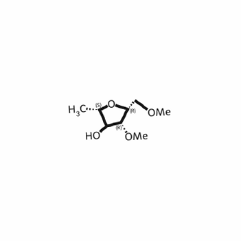 COC[C@H]1O[C@@H](C)C(O)[C@H]1OC